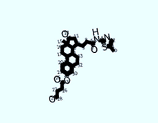 Cc1cnc(NC(=O)CCC2CC(=O)C3(C)CCC4c5ccc(OC(=O)CCC=O)cc5CCC4C23)s1